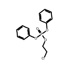 O=P(OCCCl)(Oc1ccccc1)Oc1ccccc1